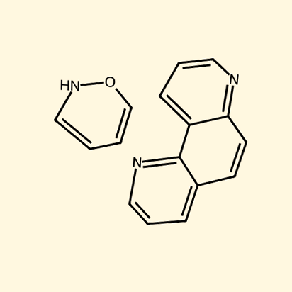 C1=CNOC=C1.c1cnc2c(c1)ccc1ncccc12